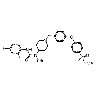 CCCCN(C(=O)Nc1ccc(F)cc1F)C1CCN(Cc2ccc(Oc3ccc(S(=O)(=O)NC)cc3)cc2)CC1